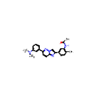 CN(C)c1cccc(-c2ccc3nc(-c4ccc(C(F)(F)F)c(NC(=O)C(C)(C)C)c4)cn3n2)c1